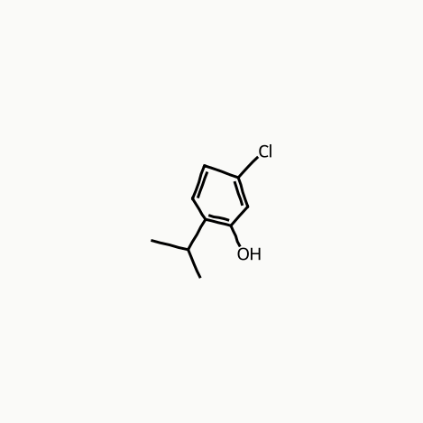 CC(C)c1ccc(Cl)cc1O